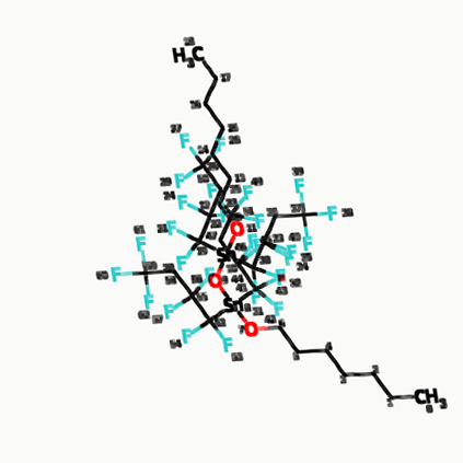 CCCCCCC[O][Sn]([O][Sn]([O]CCCCCCC)([C](F)(F)C(F)(F)CC(F)(F)F)[C](F)(F)C(F)(F)CC(F)(F)F)([C](F)(F)C(F)(F)CC(F)(F)F)[C](F)(F)C(F)(F)CC(F)(F)F